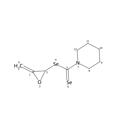 C=C1OC1[Se]C(=[Se])N1CCCCC1